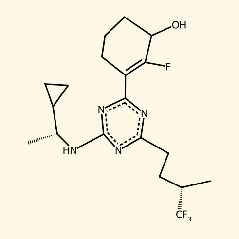 C[C@@H](Nc1nc(CC[C@H](C)C(F)(F)F)nc(C2=C(F)C(O)CCC2)n1)C1CC1